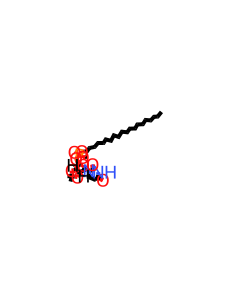 CCCCCCCCCCCCCCCCCCCCOP(=O)(OC)OC1OC(n2ccc(=O)[nH]c2=O)[C@@H]2OC(C)(C)O[C@@H]12